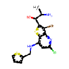 CC(N)C(O)c1sc2c(NCc3cccs3)cc(Cl)nc2c1Br